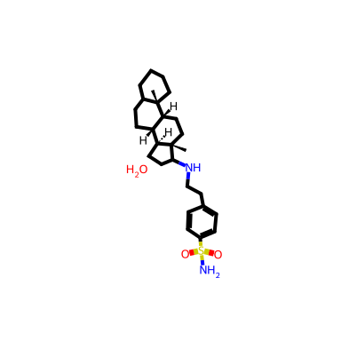 C[C@]12CCCCC1CC[C@@H]1[C@H]2CC[C@]2(C)C(NCCc3ccc(S(N)(=O)=O)cc3)CC[C@@H]12.O